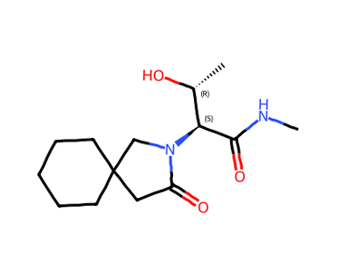 CNC(=O)[C@H]([C@@H](C)O)N1CC2(CCCCC2)CC1=O